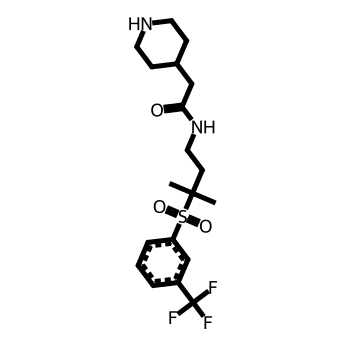 CC(C)(CCNC(=O)CC1CCNCC1)S(=O)(=O)c1cccc(C(F)(F)F)c1